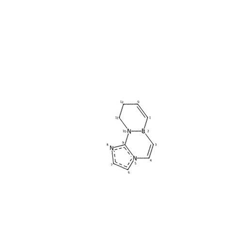 C1=CB2C=Cn3ccnc3N2CC1